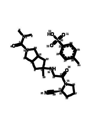 CN(C)C(=O)N1CC2CC(C)(NCC(=O)N3CCC[C@H]3C#N)CC2C1.Cc1ccc(S(=O)(=O)O)cc1